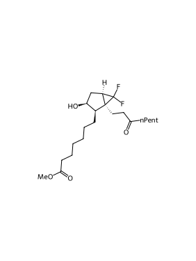 CCCCCC(=O)CC[C@]12[C@@H](CCCCCCC(=O)OC)[C@@H](O)C[C@H]1C2(F)F